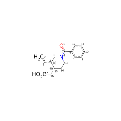 C=C[C@@H]1CN(C(=O)c2ccccc2)CC[C@@H]1CC(=O)O